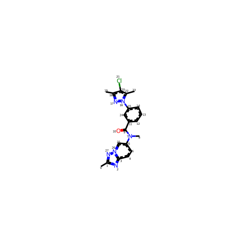 Cc1nc2ccc(N(C)C(=O)c3cccc(-n4nc(C)c(Cl)c4C)c3)cn2n1